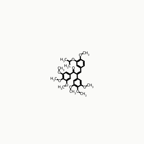 COc1ccc(C=C(C(=O)c2cc(OC)c(OC)c(OC)c2)c2cc(OC)c(OC)c(OC)c2)cc1OC(C)C